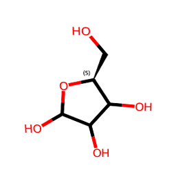 OC[C@@H]1OC(O)C(O)C1O